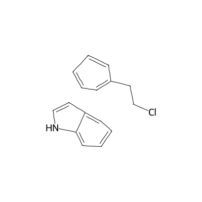 ClCCc1ccccc1.c1ccc2[nH]ccc2c1